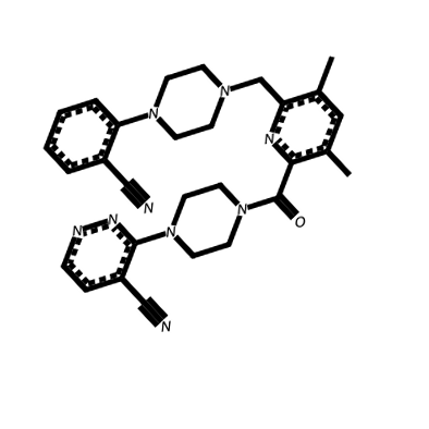 Cc1cc(C)c(C(=O)N2CCN(c3nnccc3C#N)CC2)nc1CN1CCN(c2ccccc2C#N)CC1